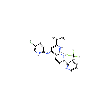 CC(C)c1cc(Nc2ccc(Cl)cn2)c2ccc(-c3ncccc3C(F)(F)F)nc2n1